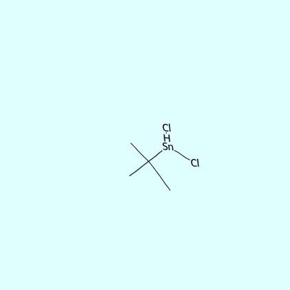 C[C](C)(C)[SnH]([Cl])[Cl]